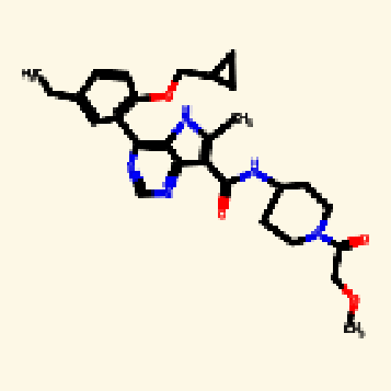 CCc1ccc(OCC2CC2)c(-c2ncnc3c(C(=O)NC4CCN(C(=O)COC)CC4)c(C)[nH]c23)c1